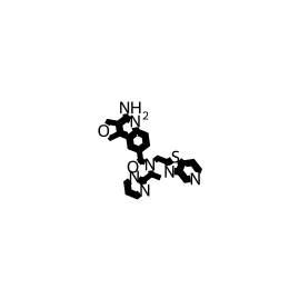 CC(c1ncccn1)N(Cc1nc2cnccc2s1)C(=O)c1ccc2nc(N)c3c(c2c1)COC3